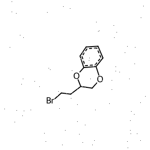 BrCCC1COc2ccccc2O1